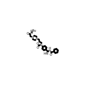 CCCCOC(=O)CN1CCN(CC2CN(c3ccc(C(=N)NC(=O)c4ccccc4)cc3)C(=O)O2)CC1